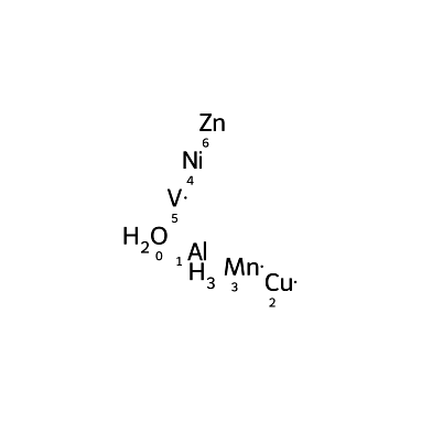 O.[AlH3].[Cu].[Mn].[Ni].[V].[Zn]